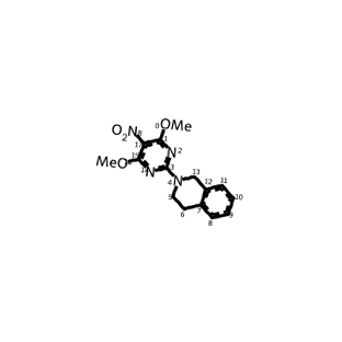 COc1nc(N2CCc3ccccc3C2)nc(OC)c1[N+](=O)[O-]